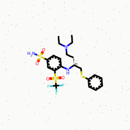 CCN(CC)CC[C@H](CSc1ccccc1)Nc1ccc(S(N)(=O)=O)cc1S(=O)(=O)C(F)(F)F